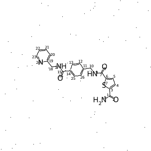 NC(=O)c1ccc(C(=O)NCc2ccc(C(=O)NCc3ccccn3)cc2)s1